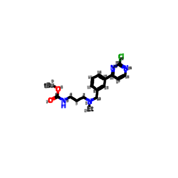 CCN(CCCNC(=O)OC(C)(C)C)Cc1cccc(-c2ccnc(Cl)n2)c1